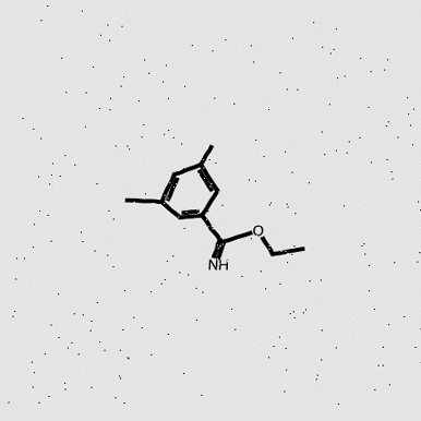 CCOC(=N)c1cc(C)cc(C)c1